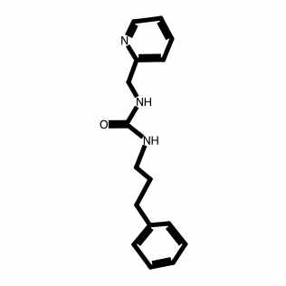 O=C(NCCCc1ccccc1)NCc1ccccn1